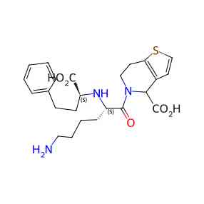 NCCCC[C@H](N[C@@H](CCc1ccccc1)C(=O)O)C(=O)N1CCc2sccc2C1C(=O)O